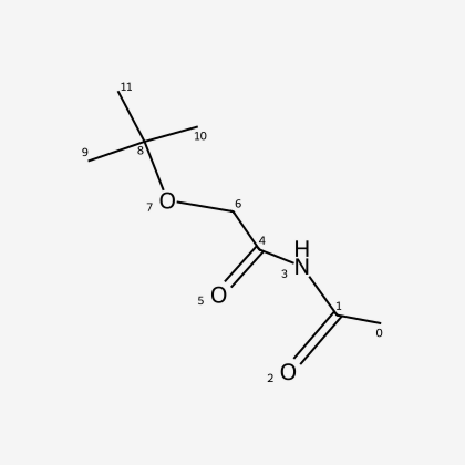 CC(=O)NC(=O)COC(C)(C)C